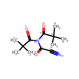 CC(C)(C)C(=O)N(C(=O)C#N)C(=O)C(C)(C)C